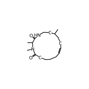 CC1CCC=CCCCCC(=O)N(C)C(C)C(=O)NCC1